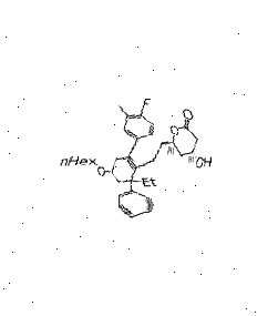 CCCCCCOC1CC(c2ccc(F)c(C)c2)=C(CC[C@@H]2C[C@@H](O)CC(=O)O2)C(CC)(c2ccccc2)C1